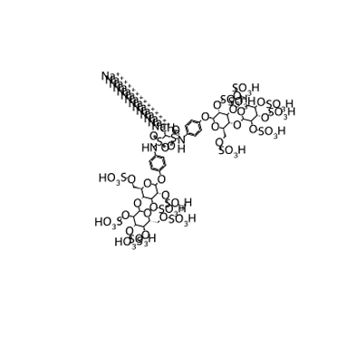 CC(S(=O)(=O)Nc1ccc(O[C@@H]2O[C@H](COS(=O)(=O)O)[C@@H](O[C@H]3O[C@H](COS(=O)(=O)O)[C@@H](OS(=O)(=O)O)[C@H](OS(=O)(=O)O)[C@H]3OS(=O)(=O)O)[C@H](OS(=O)(=O)O)[C@H]2OS(=O)(=O)O)cc1)S(=O)(=O)Nc1ccc(O[C@@H]2O[C@H](COS(=O)(=O)O)[C@@H](O[C@H]3O[C@H](COS(=O)(=O)O)[C@@H](OS(=O)(=O)O)[C@H](OS(=O)(=O)O)[C@H]3OS(=O)(=O)O)[C@H](OS(=O)(=O)O)[C@H]2OS(=O)(=O)O)cc1.[Na+].[Na+].[Na+].[Na+].[Na+].[Na+].[Na+].[Na+].[Na+].[Na+].[Na+].[Na+].[Na+].[Na+]